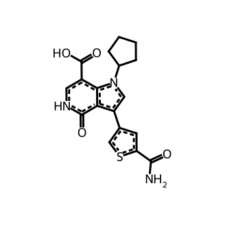 NC(=O)c1cc(-c2cn(C3CCCC3)c3c(C(=O)O)c[nH]c(=O)c23)cs1